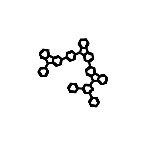 c1ccc(-c2cc(-c3ccccc3)nc(-n3c4ccccc4c4cc(-c5ccc6c7ccccc7n(-c7ccc(-c8ccc9c(c8)c8ncccc8n9-c8ccccc8)cc7)c6c5)ccc43)c2)cc1